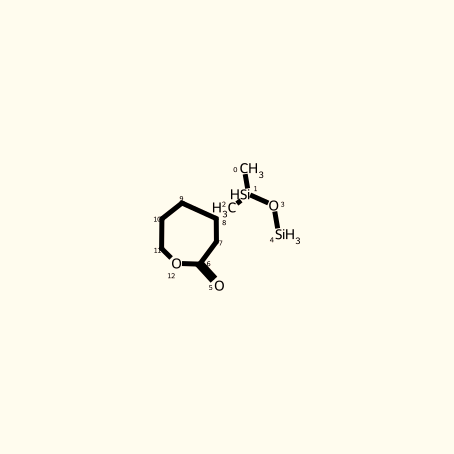 C[SiH](C)O[SiH3].O=C1CCCCCO1